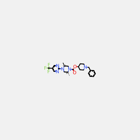 C[C@@H]1CN(c2ncc(C(F)(F)F)cn2)[C@@H](C)CN1C(=O)OC1CCN(Cc2ccccc2)CC1